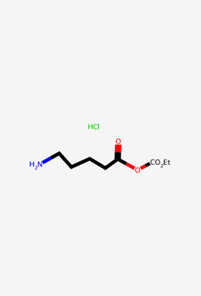 CCOC(=O)OC(=O)CCCCN.Cl